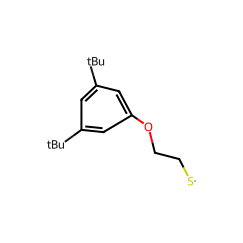 CC(C)(C)c1cc(OCC[S])cc(C(C)(C)C)c1